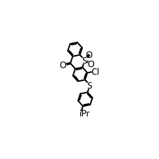 CC(C)c1ccc(Sc2ccc3c(c2Cl)S(=O)(=O)c2ccccc2C3=O)cc1